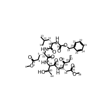 COC(=O)CC[C@H](NC(=O)[C@H](CC(C)C)NC(=O)OCc1ccccc1)C(=O)NC(C(=O)N[C@@H](CC(=O)OC)C(=O)CF)[C@@H](C)O